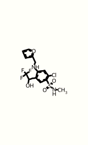 CNS(=O)(=O)c1cc(C(O)C(F)(F)F)c(NCc2ccco2)cc1Cl